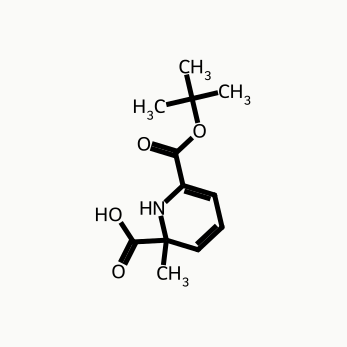 CC(C)(C)OC(=O)C1=CC=CC(C)(C(=O)O)N1